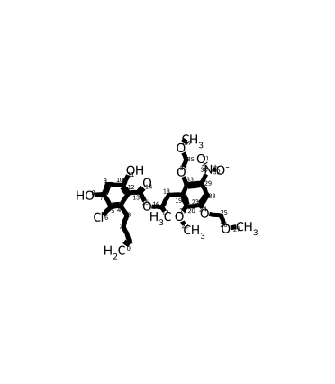 C=CCCc1c(Cl)c(O)cc(O)c1C(=O)OC(C)Cc1c(OC)c(OCOC)cc([N+](=O)[O-])c1OCOC